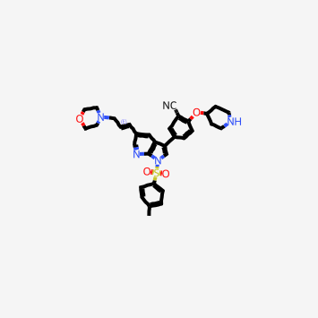 Cc1ccc(S(=O)(=O)n2cc(-c3ccc(OC4CCNCC4)c(C#N)c3)c3cc(/C=C/CN4CCOCC4)cnc32)cc1